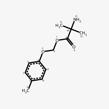 Cc1ccc(OCOC(=O)C(C)(C)N)cc1